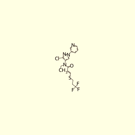 CCN(C(=O)C=CSCCC(F)(F)F)c1cn(-c2cccnc2)nc1Cl